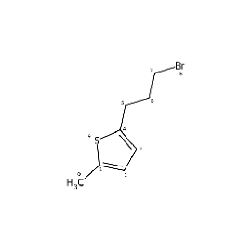 Cc1ccc(CCCBr)s1